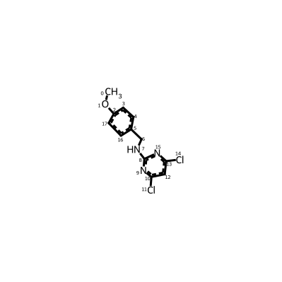 COc1ccc(CNc2nc(Cl)cc(Cl)n2)cc1